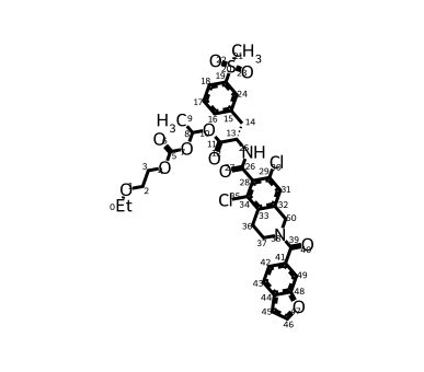 [CH2]COCCOC(=O)OC(C)OC(=O)[C@H](Cc1cccc(S(C)(=O)=O)c1)NC(=O)c1c(Cl)cc2c(c1Cl)CCN(C(=O)c1ccc3ccoc3c1)C2